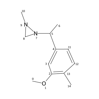 COc1cc(C(C)N2CN2C)ccc1C